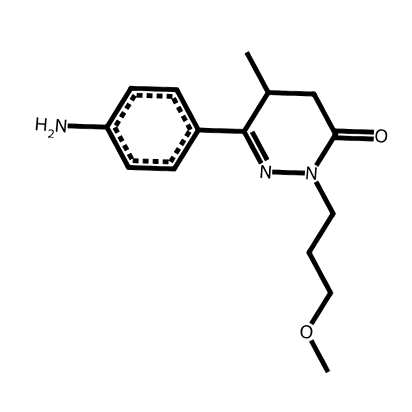 COCCCN1N=C(c2ccc(N)cc2)C(C)CC1=O